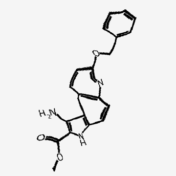 COC(=O)c1[nH]c2ccc3nc(OCc4ccccc4)ccc3c2c1N